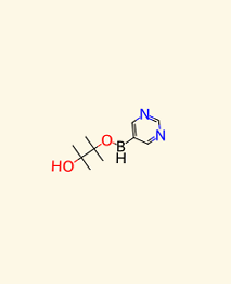 CC(C)(O)C(C)(C)OBc1cncnc1